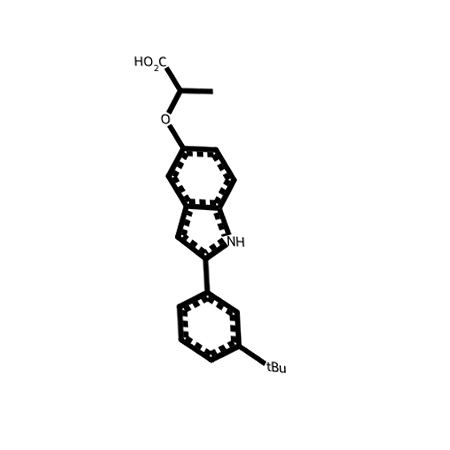 CC(Oc1ccc2[nH]c(-c3cccc(C(C)(C)C)c3)cc2c1)C(=O)O